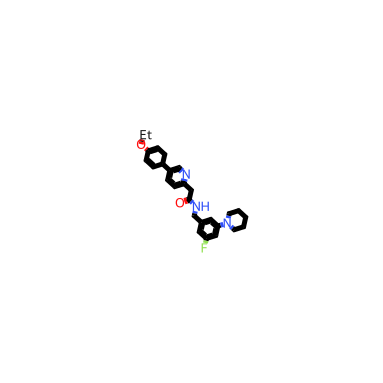 CCOC1=CCC(c2ccc(CC(=O)NCc3cc(F)cc(N4CCCCC4)c3)nc2)C=C1